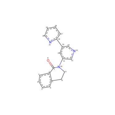 O=C1c2ccccc2CCN1c1cncc(-c2ccccn2)c1